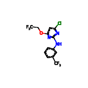 FC(F)(F)COc1cc(Cl)nc(Nc2cccc(C(F)(F)F)c2)n1